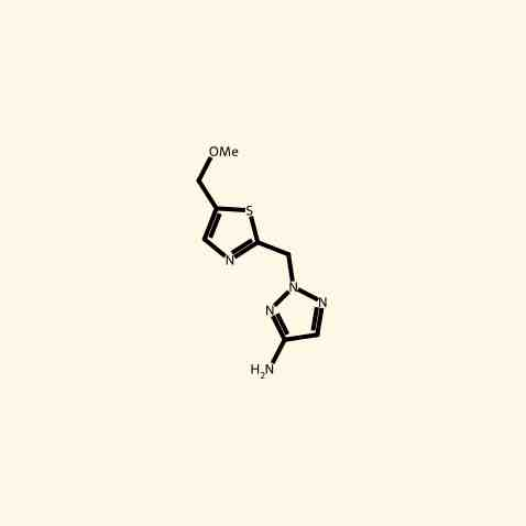 COCc1cnc(Cn2ncc(N)n2)s1